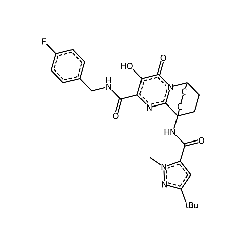 Cn1nc(C(C)(C)C)cc1C(=O)NC12CCC(CC1)n1c2nc(C(=O)NCc2ccc(F)cc2)c(O)c1=O